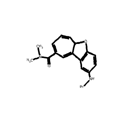 CC(C)Nc1ccc2c(c1)C1=CC(C(=O)N(C)C)=CC=CC1O2